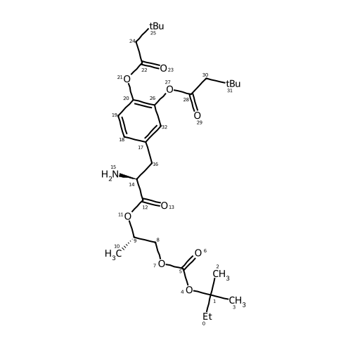 CCC(C)(C)OC(=O)OC[C@H](C)OC(=O)[C@@H](N)Cc1ccc(OC(=O)CC(C)(C)C)c(OC(=O)CC(C)(C)C)c1